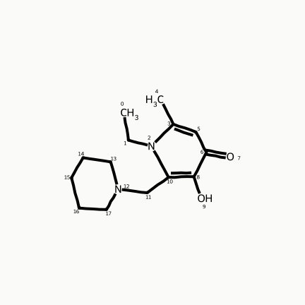 CCn1c(C)cc(=O)c(O)c1CN1CCCCC1